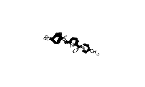 CC1CCN(C(=O)c2cccc(CSc3ccc(Br)cc3)n2)CC1